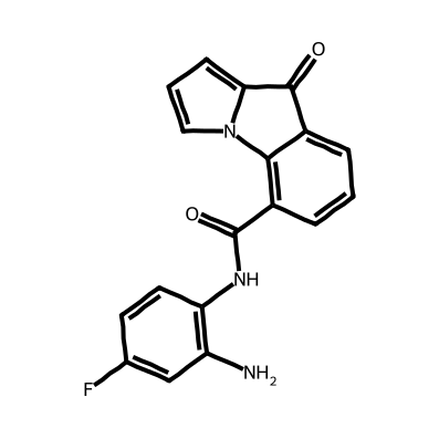 Nc1cc(F)ccc1NC(=O)c1cccc2c1-n1cccc1C2=O